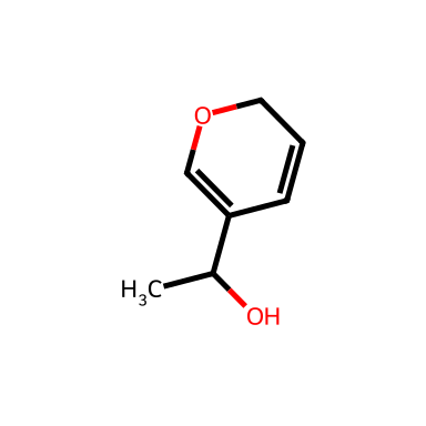 CC(O)C1=COCC=C1